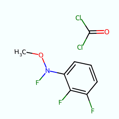 CON(F)c1cccc(F)c1F.O=C(Cl)Cl